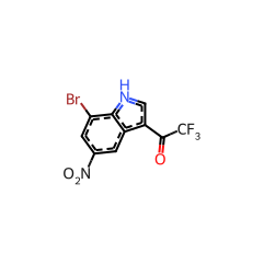 O=C(c1c[nH]c2c(Br)cc([N+](=O)[O-])cc12)C(F)(F)F